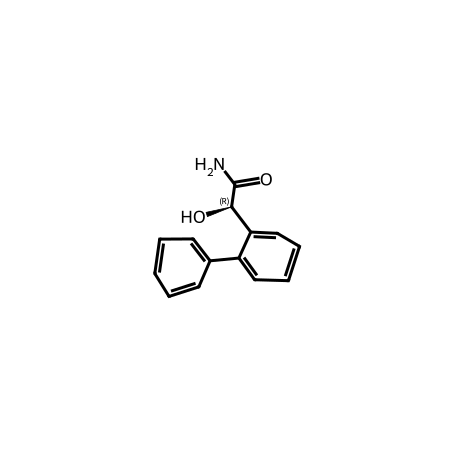 NC(=O)[C@H](O)c1ccccc1-c1ccccc1